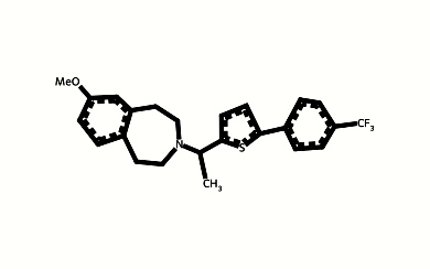 COc1ccc2c(c1)CCN(C(C)c1ccc(-c3ccc(C(F)(F)F)cc3)s1)CC2